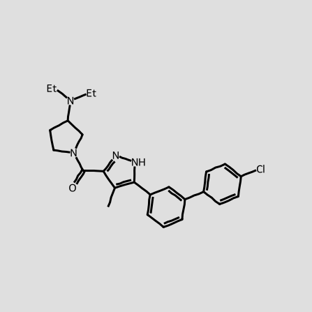 CCN(CC)C1CCN(C(=O)c2n[nH]c(-c3cccc(-c4ccc(Cl)cc4)c3)c2C)C1